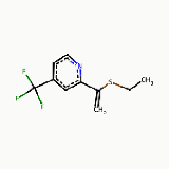 C=C(SCC)c1cc(C(F)(F)F)ccn1